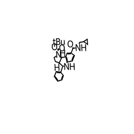 CC(C)(C)OC(=O)N1CC[C@H]2C(c3ccccc3)Nc3ccc(C(=O)NCC4CC4)cc3[C@H]21